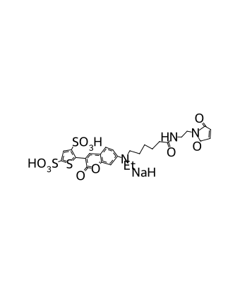 CCN(CCCCCC(=O)NCCN1C(=O)C=CC1=O)c1ccc2cc(-c3sc(S(=O)(=O)O)cc3S(=O)(=O)O)c(=O)oc2c1.[NaH]